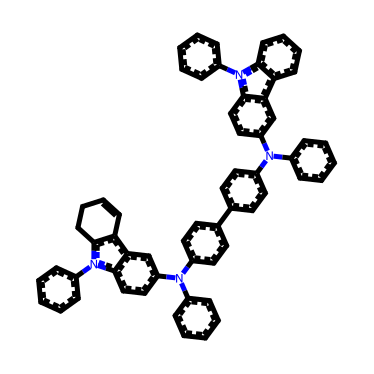 C1=Cc2c(n(-c3ccccc3)c3ccc(N(c4ccccc4)c4ccc(-c5ccc(N(c6ccccc6)c6ccc7c(c6)c6ccccc6n7-c6ccccc6)cc5)cc4)cc23)CC1